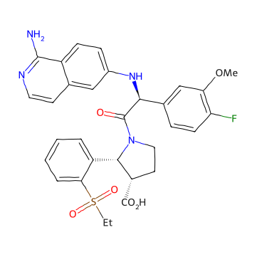 CCS(=O)(=O)c1ccccc1[C@H]1[C@@H](C(=O)O)CCN1C(=O)[C@@H](Nc1ccc2c(N)nccc2c1)c1ccc(F)c(OC)c1